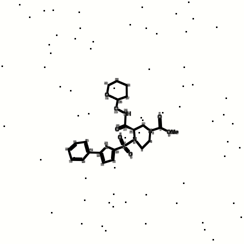 COC(=O)N1CCN(S(=O)(=O)c2ccc(-c3ccccc3)s2)[C@@H](C(=O)NOC2CCCCO2)C1